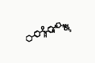 CNC1CCN(c2ccc(NC(=O)c3ccc(C4CCCCC4)cc3)cn2)C1